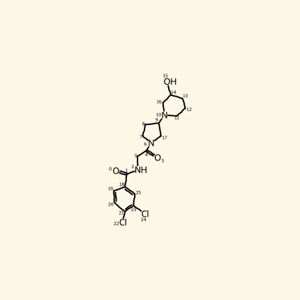 O=C(NCC(=O)N1CCC(N2CCCC(O)C2)C1)c1ccc(Cl)c(Cl)c1